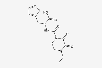 CCN1CCN(C(=O)NC(Cc2cccs2)C(=O)O)C(=O)C1=O